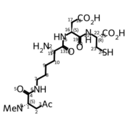 CN[C@@H](CC(C)=O)C(=O)NCCCC[C@H](N)C(=O)N[C@@H](CC(=O)O)C(=O)N[C@@H](CS)C(=O)O